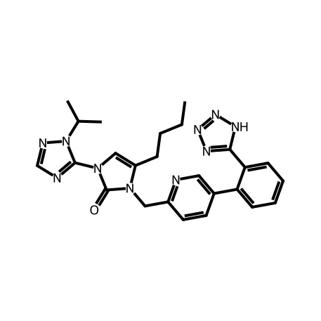 CCCCc1cn(-c2ncnn2C(C)C)c(=O)n1Cc1ccc(-c2ccccc2-c2nnn[nH]2)cn1